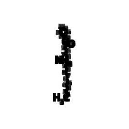 CCCCCCCCCCCCCCCCCC(=O)OCc1ccccc1.N